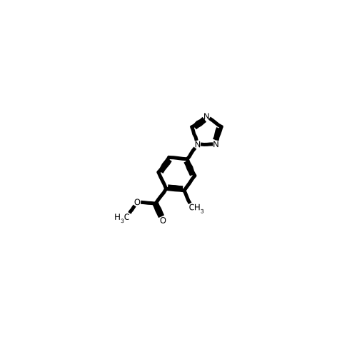 COC(=O)c1ccc(-n2cncn2)cc1C